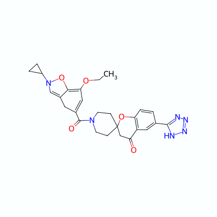 CCOC1=C2ON(C3CC3)C=C2CC(C(=O)N2CCC3(CC2)CC(=O)c2cc(-c4nnn[nH]4)ccc2O3)=C1